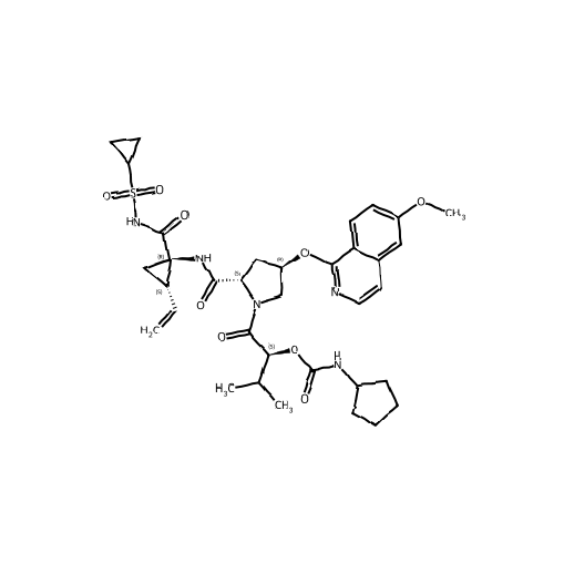 C=C[C@@H]1C[C@]1(NC(=O)[C@@H]1C[C@@H](Oc2nccc3cc(OC)ccc23)CN1C(=O)[C@@H](OC(=O)NC1CCCC1)C(C)C)C(=O)NS(=O)(=O)C1CC1